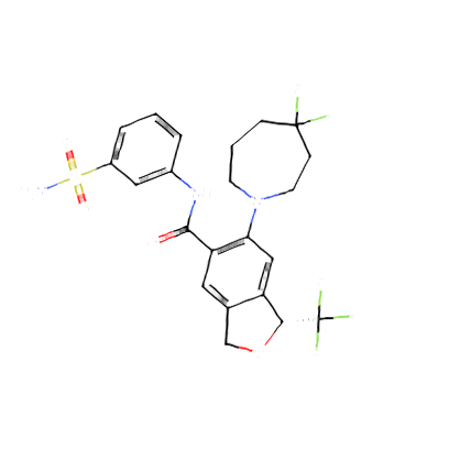 NS(=O)(=O)c1cccc(NC(=O)c2cc3c(cc2N2CCCC(F)(F)CC2)[C@H](C(F)(F)F)OC3)c1